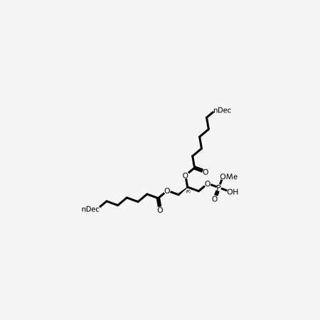 CCCCCCCCCCCCCCCC(=O)OC[C@H](COP(=O)(O)OC)OC(=O)CCCCCCCCCCCCCCC